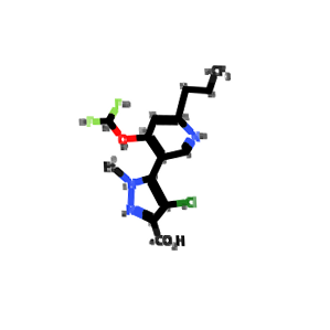 CCn1nc(C(=O)O)c(Cl)c1-c1cnc(CCC(F)(F)F)cc1OC(F)F